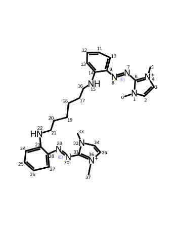 Cn1cc[n+](C)c1/N=N/c1ccccc1NCCCCCCNc1ccccc1/N=N/c1n(C)cc[n+]1C